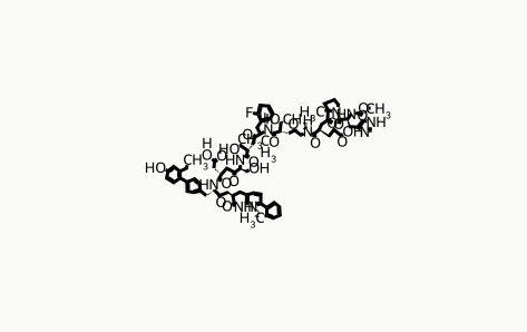 CCc1cc(O)ccc1-c1ccc(C[C@H](NC(=O)[C@H](CC(=O)O)CC(=O)[C@H](CO)NC(=O)[C@@H](CC(=O)C(C)(Cc2ccccc2F)NC(=O)[C@@H](CC(=O)CNC(=O)[C@H](CCC(=O)O)CC(=O)C2(C)CCCN2C(=O)[C@H](Cc2c[nH]cn2)NC(=O)OC)[C@@H](C)O)[C@@H](C)O)C(=O)C[C@@H](Cc2ccc(-c3ccccc3C)nc2)C(N)=O)cc1